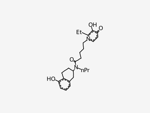 CCCN(C(=O)CCCCn1ccc(=O)c(O)c1CC)C1CCc2c(O)cccc2C1